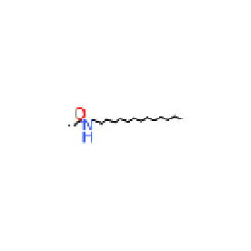 [CH2]C(=O)NCCCCCCCCCCCCCC